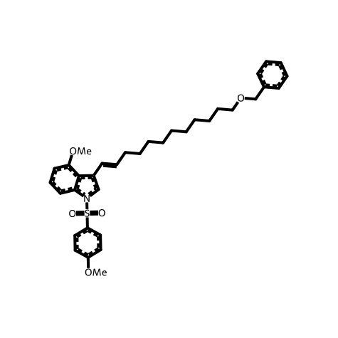 COc1ccc(S(=O)(=O)n2cc(C=CCCCCCCCCCCOCc3ccccc3)c3c(OC)cccc32)cc1